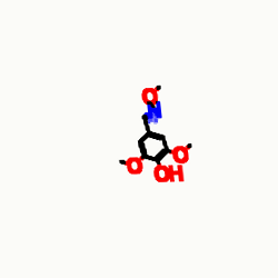 CO/N=C/c1cc(OC)c(O)c(OC)c1